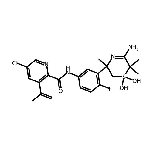 C=C(C)c1cc(Cl)cnc1C(=O)Nc1ccc(F)c(C2(C)CS(O)(O)C(C)(C)C(N)=N2)c1